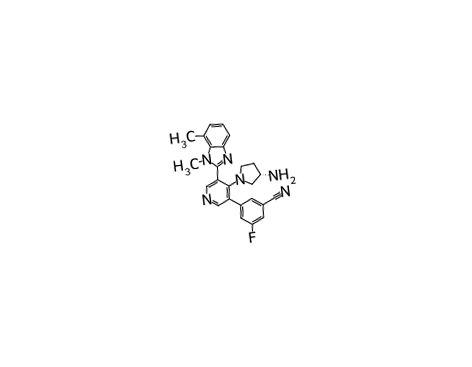 Cc1cccc2nc(-c3cncc(-c4cc(F)cc(C#N)c4)c3N3CC[C@H](N)C3)n(C)c12